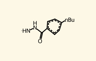 CCCCc1ccc(C(=O)N[NH])cc1